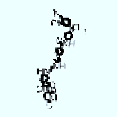 CN(c1ccc(C#N)c(Cl)c1)[C@H]1CC[C@H](NC(=O)c2ccc(N3CC(NCCNc4ccc5c(c4)C(=O)N(C4CCC(=O)NC4=O)C5=O)C3)cc2)CC1